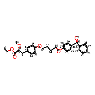 CCOC(=O)[C@H](Cc1ccc(OCCCCOc2ccc(C(=O)c3ccccc3)cc2)cc1)OC